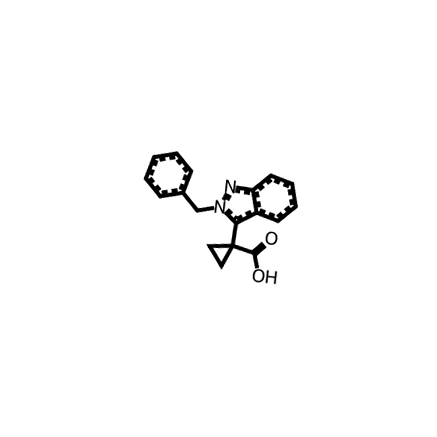 O=C(O)C1(c2c3ccccc3nn2Cc2ccccc2)CC1